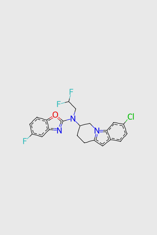 Fc1ccc2oc(N(CC(F)F)C3CCc4cc5ccc(Cl)cc5n4C3)nc2c1